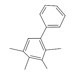 Cc1cc(-c2ccccc2)c(C)c(C)c1C